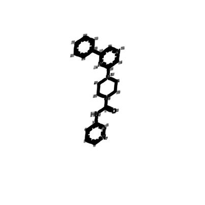 O=C(Nc1cccnn1)N1CCN(c2cncc(-c3ccccc3)n2)CC1